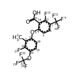 Cc1c(Oc2ccc(C(F)(F)F)c(F)c2C(=O)O)ccc(OC(F)(F)F)c1F